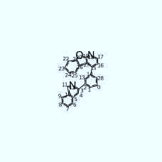 c1cc(-c2cc3ccccc3cn2)cc(-c2ccnc3oc4ccccc4c23)c1